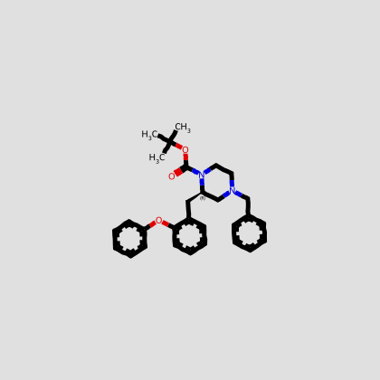 CC(C)(C)OC(=O)N1CCN(Cc2ccccc2)C[C@H]1Cc1ccccc1Oc1ccccc1